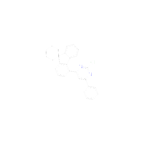 Clc1nc(-c2ccccc2)cc(-c2cccc3c2-c2ccccc2C32CCCCC2)n1